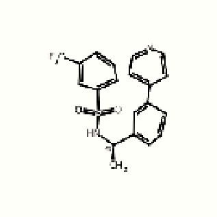 C[C@@H](NS(=O)(=O)c1cccc(C(F)(F)F)c1)c1cccc(-c2ccncc2)c1